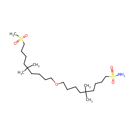 CC(C)(CCCCOCCCCC(C)(C)CCCCS(N)(=O)=O)CCCCS(C)(=O)=O